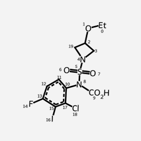 CCOC1CN(S(=O)(=O)N(C(=O)O)c2ccc(F)c(I)c2Cl)C1